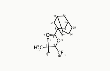 CC(F)(F)C(OC(=O)C12CC3CC(CC(C3)C1)C2)C(F)(F)F